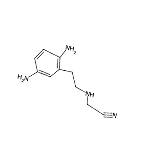 N#CCNCCc1cc(N)ccc1N